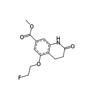 COC(=O)c1cc2c(c(OCCF)c1)CCC(=O)N2